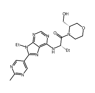 CC[C@H](Nc1ncnc2c1nc(-c1cnc(C)nc1)n2CC)C(=O)N1CCOC[C@H]1CO